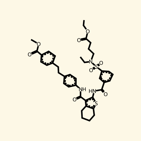 CCOC(=O)CCCN(CC)S(=O)(=O)c1cccc(C(=O)Nc2sc3c(c2C(=O)Nc2ccc(CCc4ccc(C(=O)OC)cc4)cc2)CCCC3)c1